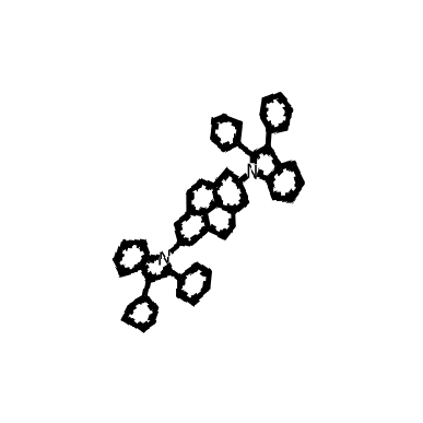 c1ccc(-c2c(-c3ccccc3)n(-c3cc4ccc5cc(-n6c(-c7ccccc7)c(-c7ccccc7)c7ccccc76)cc6ccc(c3)c4c56)c3ccccc23)cc1